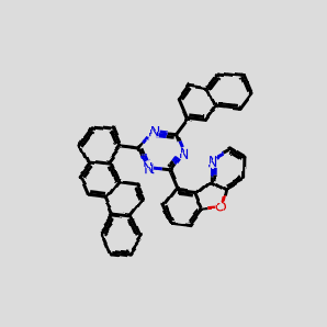 c1ccc2cc(-c3nc(-c4cccc5ccc6c7ccccc7ccc6c45)nc(-c4cccc5oc6cccnc6c45)n3)ccc2c1